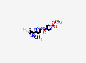 Cc1cnn(C)c1-c1ccc(NC(=O)C2CCN(C(=O)OC(C)(C)C)CC2)nn1